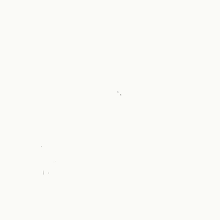 CCCCCCCN(CCCCCCC)CCCCCCCC(=O)O